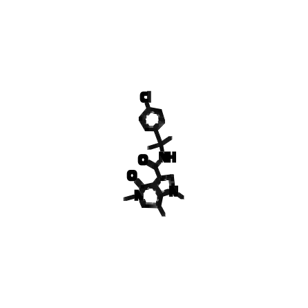 Cc1cn(C)c(=O)c2c(C(=O)NC(C)(C)c3ccc(Cl)cc3)cn(C)c12